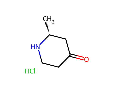 C[C@@H]1CC(=O)CCN1.Cl